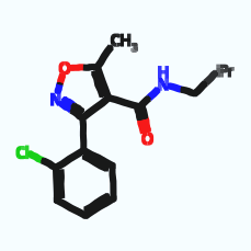 Cc1onc(-c2ccccc2Cl)c1C(=O)NCC(C)C